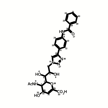 CC(=O)NC1C(C(O)C(O)Cn2cc(-c3ccc(NC(=O)c4ccccc4)cc3)nn2)OC(C(=O)O)=C[C@H]1O